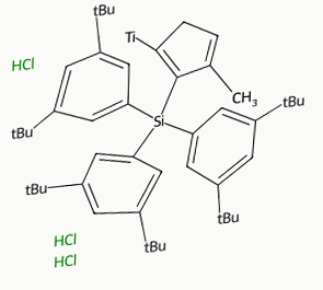 CC1=CC[C]([Ti])=C1[Si](c1cc(C(C)(C)C)cc(C(C)(C)C)c1)(c1cc(C(C)(C)C)cc(C(C)(C)C)c1)c1cc(C(C)(C)C)cc(C(C)(C)C)c1.Cl.Cl.Cl